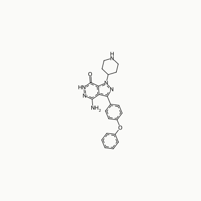 Nc1n[nH]c(=O)c2c1c(-c1ccc(Oc3ccccc3)cc1)nn2C1CCNCC1